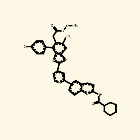 CCCCOOC(=O)Cc1c(C)cc2nc(-c3ccnc(-c4ccc5nc(NC(=O)C6CCCCC6)ccc5c4)c3)sc2c1-c1ccc(Cl)cc1